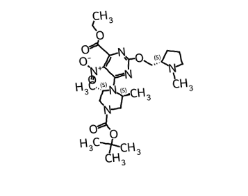 CCOC(=O)c1nc(OC[C@@H]2CCCN2C)nc(N2[C@@H](C)CN(C(=O)OC(C)(C)C)C[C@@H]2C)c1[N+](=O)[O-]